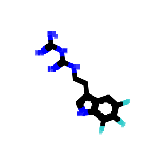 N=C(N)NC(=N)NCCc1c[nH]c2c(F)c(F)c(F)cc12